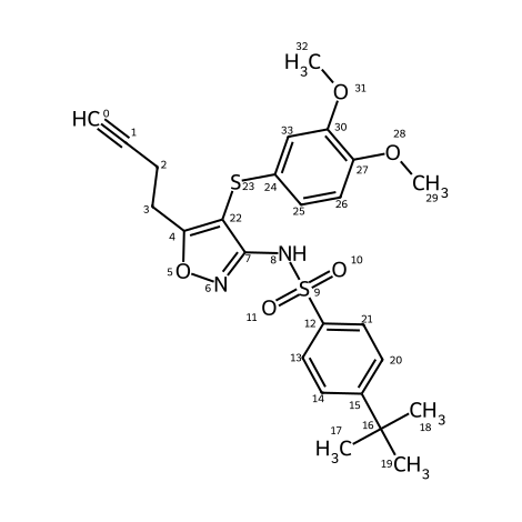 C#CCCc1onc(NS(=O)(=O)c2ccc(C(C)(C)C)cc2)c1Sc1ccc(OC)c(OC)c1